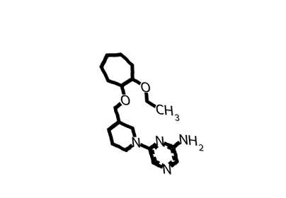 CCOC1CCCCCC1OCC1CCCN(c2cncc(N)n2)C1